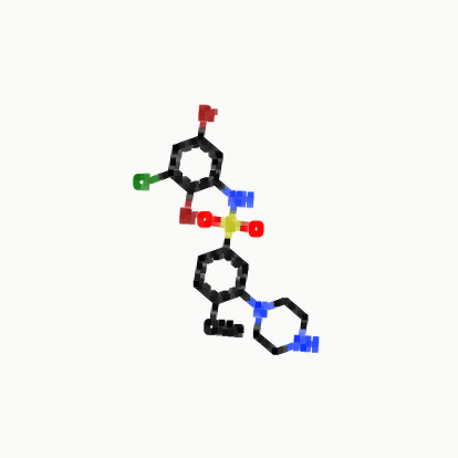 COc1ccc(S(=O)(=O)Nc2cc(Br)cc(Cl)c2Br)cc1N1CCNCC1